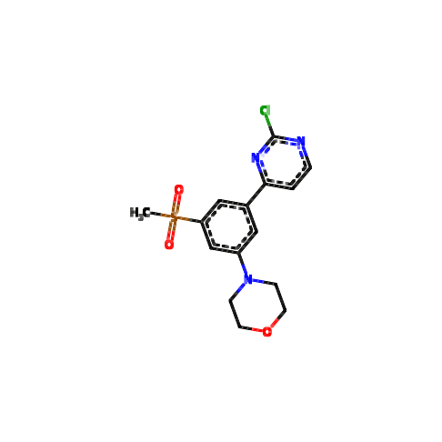 CS(=O)(=O)c1cc(-c2ccnc(Cl)n2)cc(N2CCOCC2)c1